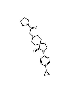 O=C(CN1CCC2(CC1)CCN(c1ccc(C3CC3)cc1)C2=O)N1CCCC1